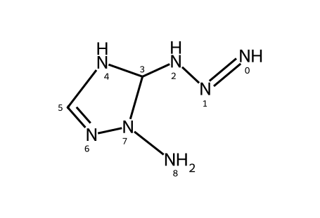 N=NNC1NC=NN1N